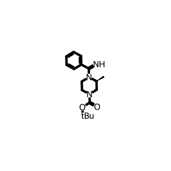 C[C@H]1CN(C(=O)OC(C)(C)C)CCN1C(=N)c1ccccc1